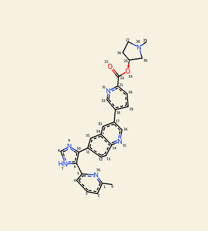 Cc1cccc(-c2[nH]cnc2-c2ccc3ncc(-c4ccc(C(=O)O[C@H]5CCN(C)C5)nc4)cc3c2)n1